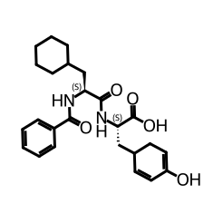 O=C(N[C@@H](CC1CCCCC1)C(=O)N[C@@H](CC1C=CC(O)=CC1)C(=O)O)c1ccccc1